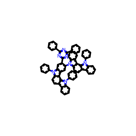 c1ccc(-c2nc(-c3ccccc3)nc(-c3cc4c(cc3-n3c5ccccc5c5c3ccc3c6ccccc6n(-c6ccccc6)c35)c3c(ccc5c6ccccc6n(-c6ccccc6)c53)n4-c3ccccc3)n2)cc1